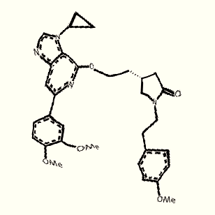 COc1ccc(CCN2C[C@H](CCOc3nc(-c4ccc(OC)c(OC)c4)cc4ncn(C5CC5)c34)CC2=O)cc1